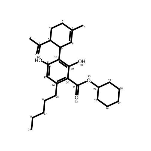 C=C(C)C1CCC(C)=CC1c1c(O)cc(CCCCC)c(C(=O)OC2CCCCC2)c1O